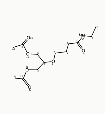 CCNC(=O)CCCOC(COC(C)=O)COC(C)=O